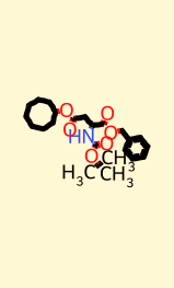 CC(C)(C)OC(=O)NC(CC(=O)OC1CCCCCCC1)C(=O)OCc1ccccc1